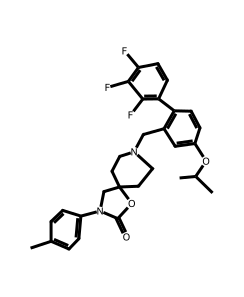 Cc1ccc(N2CC3(CCN(Cc4cc(OC(C)C)ccc4-c4ccc(F)c(F)c4F)CC3)OC2=O)cc1